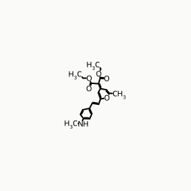 CCOC(=O)C(C(=O)OCC)=C1C=C(C)OC(C=Cc2ccc(NC)cc2)=C1